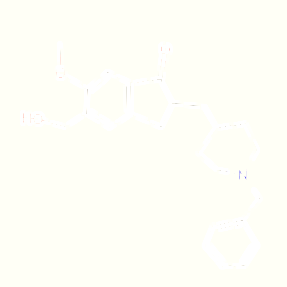 COc1cc2c(cc1CO)CC(CC1CCN(Cc3ccccc3)CC1)C2=O